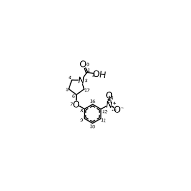 O=C(O)N1CCC(Oc2cccc([N+](=O)[O-])c2)C1